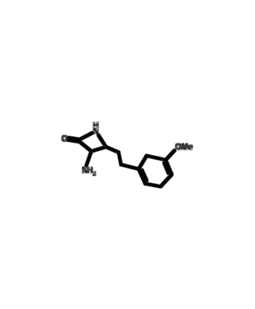 COC1=CCC=C(CCC2NC(=O)C2N)C1